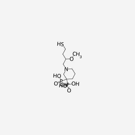 COC(CCS)CN1CCCC(P(=O)(O)O)(P(=O)(O)O)C1